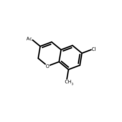 CC(=O)C1=Cc2cc(Cl)cc(C)c2OC1